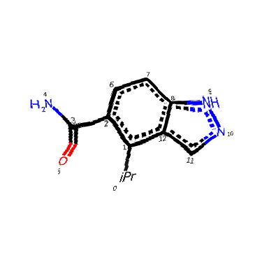 CC(C)c1c(C(N)=O)ccc2[nH]ncc12